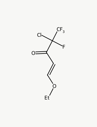 CCO/C=C/C(=O)C(F)(Cl)C(F)(F)F